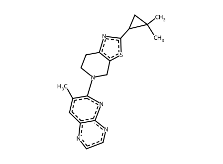 Cc1cc2nccnc2nc1N1CCc2nc(C3CC3(C)C)sc2C1